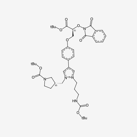 CC(C)(C)OC(=O)NCCCn1cc(-c2ccc(OC[C@H](ON3C(=O)c4ccccc4C3=O)C(=O)OC(C)(C)C)cc2)c[n+]1C[C@@H]1CCN(C(=O)OC(C)(C)C)C1